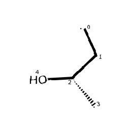 [CH2]C[C@H]([CH2])O